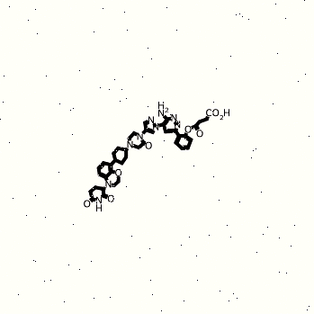 Nc1nnc(-c2ccccc2OC(=O)CCC(=O)O)cc1-n1cc(N2CCN(C3CCC(c4cccc5c4OCCN5[C@H]4CCC(=O)NC4=O)CC3)CC2=O)cn1